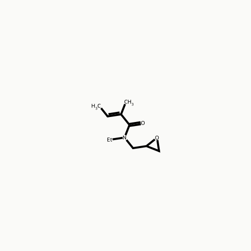 CC=C(C)C(=O)N(CC)CC1CO1